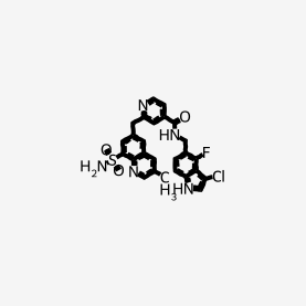 Cc1cnc2c(S(N)(=O)=O)cc(Cc3cc(C(=O)NCc4ccc5[nH]cc(Cl)c5c4F)ccn3)cc2c1